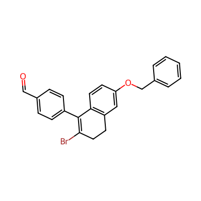 O=Cc1ccc(C2=C(Br)CCc3cc(OCc4ccccc4)ccc32)cc1